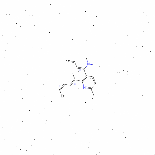 C=C/C=C(/c1ccc(C)nc1/C(C)=C/C=C\CC)N(C)C